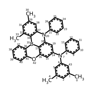 Cc1cc(C)cc(N(c2ccccc2)c2cc3c4c(c2)N(c2ccccc2)c2cc(C)cc(C)c2B4c2ccccc2O3)c1